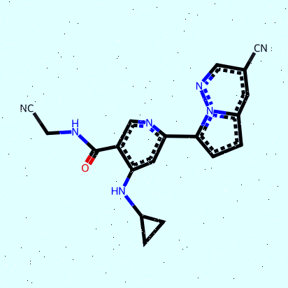 N#CCNC(=O)c1cnc(-c2ccc3cc(C#N)cnn23)cc1NC1CC1